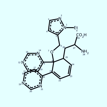 CCn1nccc1COC1(c2ccncn2)C(c2ccncn2)=CC=CC1CC(N)C(=O)O